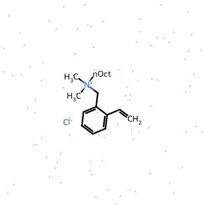 C=Cc1ccccc1C[N+](C)(C)CCCCCCCC.[Cl-]